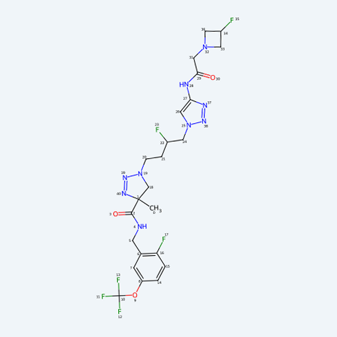 CC1(C(=O)NCc2cc(OC(F)(F)F)ccc2F)CN(CCC(F)Cn2cc(NC(=O)CN3CC(F)C3)nn2)N=N1